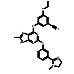 CCOc1cc(C#N)cc(Oc2nc(Oc3cccc(C4=NCCN4C)c3)nc3[nH]c(C)nc23)c1